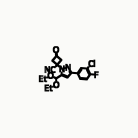 CCOC(OCC)c1cc(-c2ccc(F)c(Cl)c2)nn1C1(C#N)CC(=O)C1